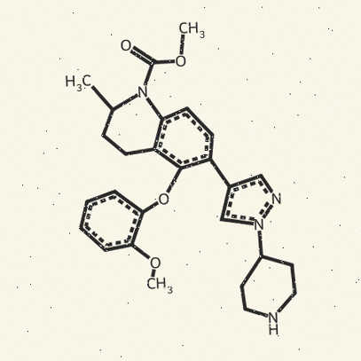 COC(=O)N1c2ccc(-c3cnn(C4CCNCC4)c3)c(Oc3ccccc3OC)c2CCC1C